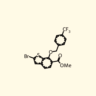 COC(=O)c1ccc2cc(Br)sc2c1OCc1ccc(C(F)(F)F)cc1